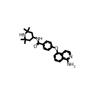 CC1(C)CC(NC(=O)c2ccc(Oc3cccc4c(N)nccc34)cc2)CC(C)(C)N1